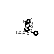 CCOC(=O)c1cn2c(c(OCc3ccccc3)c1=O)C(=O)N1[C@@H](C2)[C@@H]2C[C@H](C)[C@@H]1C2